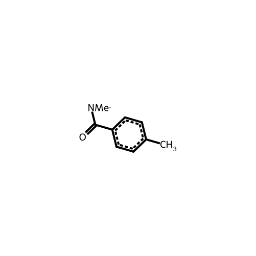 C[N]C(=O)c1ccc(C)cc1